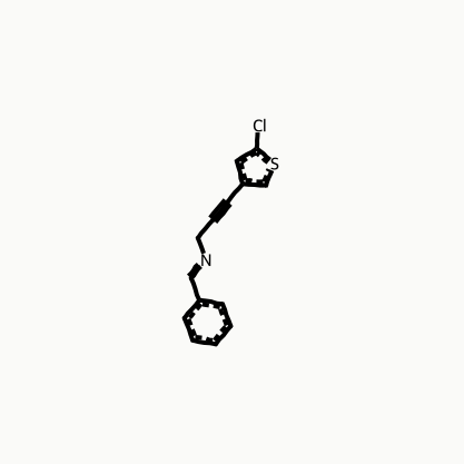 Clc1cc(C#CCN=Cc2ccccc2)cs1